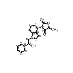 C=C1SC(=O)N(c2cccc3c2ccn3CC(O)c2ccccc2)C1=O